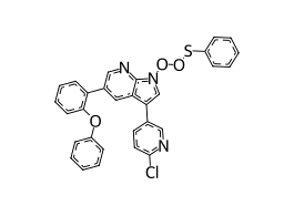 Clc1ccc(-c2cn(OOSc3ccccc3)c3ncc(-c4ccccc4Oc4ccccc4)cc23)cn1